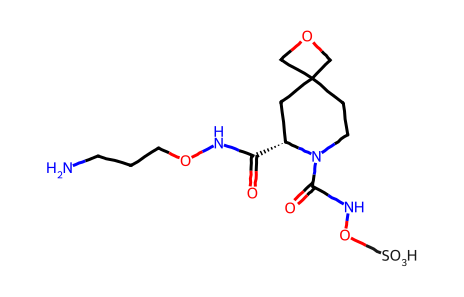 NCCCONC(=O)[C@@H]1CC2(CCN1C(=O)NOS(=O)(=O)O)COC2